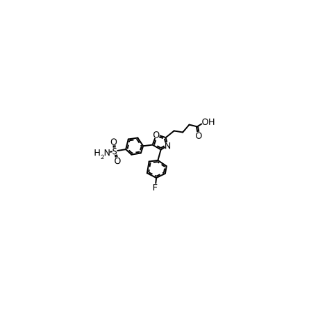 NS(=O)(=O)c1ccc(-c2oc(CCCC(=O)O)nc2-c2ccc(F)cc2)cc1